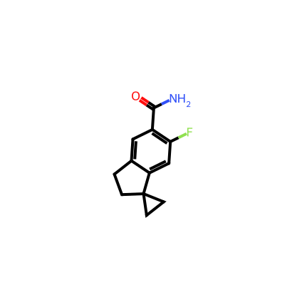 NC(=O)c1cc2c(cc1F)C1(CC2)CC1